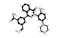 C=Cc1cc(C(N)=O)cc(-c2nn(-c3cc(N4CCOCC4)ccc3[N+](=O)[O-])c(=O)c3ccccc23)c1